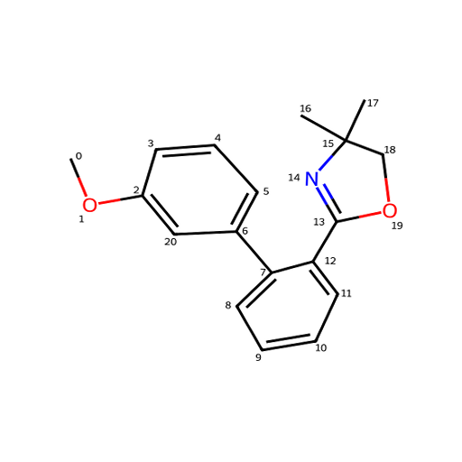 COc1cccc(-c2ccccc2C2=NC(C)(C)CO2)c1